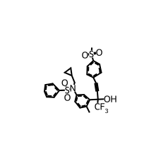 Cc1ccc(N(CC2CC2)S(=O)(=O)c2ccccc2)cc1C(O)(C#Cc1ccc(S(C)(=O)=O)cc1)C(F)(F)F